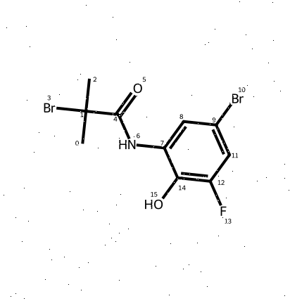 CC(C)(Br)C(=O)Nc1cc(Br)cc(F)c1O